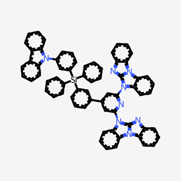 c1ccc([Si](c2ccccc2)(c2cccc(-c3cc(-n4c5ccccc5n5c6ccccc6nc45)nc(-n4c5ccccc5n5c6ccccc6nc45)c3)c2)c2cccc(-n3c4ccccc4c4ccccc43)c2)cc1